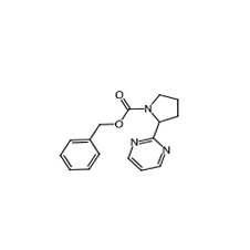 O=C(OCc1ccccc1)N1CCCC1c1ncccn1